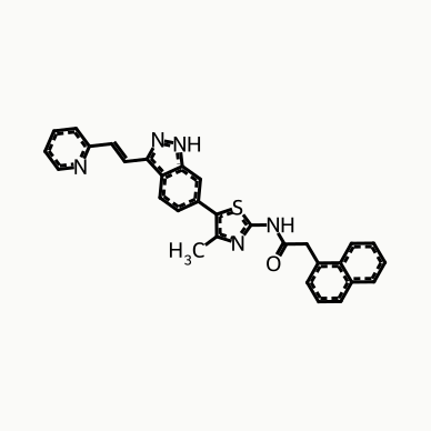 Cc1nc(NC(=O)Cc2cccc3ccccc23)sc1-c1ccc2c(C=Cc3ccccn3)n[nH]c2c1